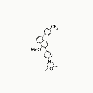 COc1c(-c2ccc(N3CC(C)OC(C)C3)nc2)ccc2c(-c3ccc(C(F)(F)F)cc3)cccc12